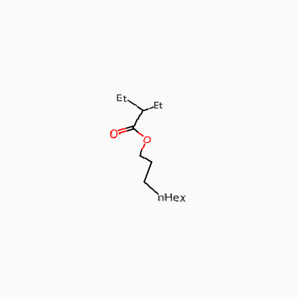 CCCCCCCCCOC(=O)C(CC)CC